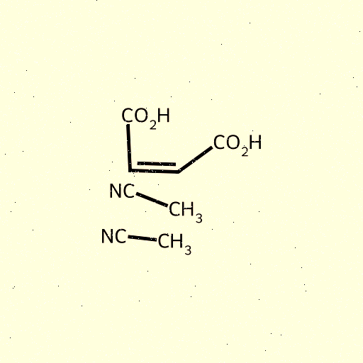 CC#N.CC#N.O=C(O)/C=C\C(=O)O